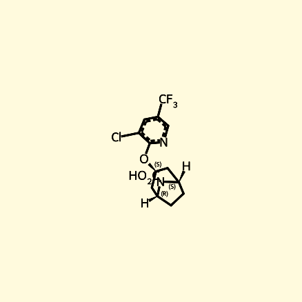 O=C(O)N1[C@@H]2CC[C@H]1C[C@H](Oc1ncc(C(F)(F)F)cc1Cl)C2